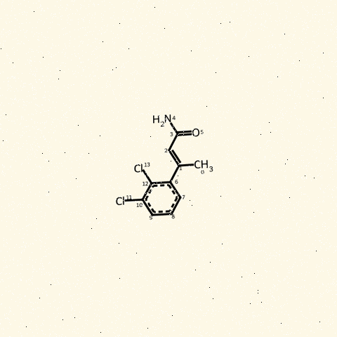 CC(=CC(N)=O)c1cccc(Cl)c1Cl